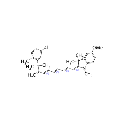 C=C(/C=C/C=C/C=C/C=C1/N(C)c2ccc(OC)cc2C1(C)C)C(C)(C)c1cc(Cl)ccc1C